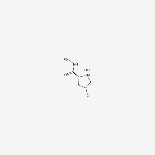 CC(C)(C)NC(=O)[C@@H]1CC(Cl)CN1.Cl